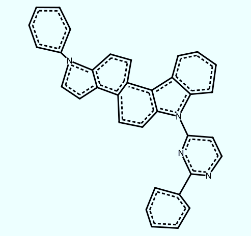 c1ccc(-c2nccc(-n3c4ccccc4c4c5ccc6c(ccn6-c6ccccc6)c5ccc43)n2)cc1